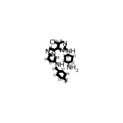 N[C@H]1CC[C@H](Nc2ncc(Cl)c(-c3cnc4ccc(NCc5ccc(F)cc5)cn34)n2)CC1